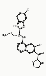 COC[C@@H](Nc1ncnc2cc(C(=O)C3NCCS3)c(Br)cc12)c1nc2cc(Cl)ccc2[nH]1